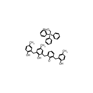 COC[P+](c1ccccc1)(c1ccccc1)c1ccccc1.Cc1ccc(O)c(Cc2cccc(Cc3cc(C)cc(Cc4cc(C)ccc4O)c3O)c2[O-])c1